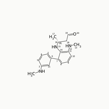 CNc1cccc(-c2cccc(NC)c2N[C@H](C)CC=O)c1